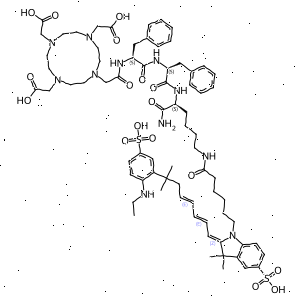 CCNc1ccc(S(=O)(=O)O)cc1C(C)(C)C/C=C/C=C/C=C1\N(CCCCCC(=O)NCCCC[C@H](NC(=O)[C@H](Cc2ccccc2)NC(=O)[C@H](Cc2ccccc2)NC(=O)CN2CCN(CC(=O)O)CCN(CC(=O)O)CCN(CC(=O)O)CC2)C(N)=O)c2ccc(S(=O)(=O)O)cc2C1(C)C